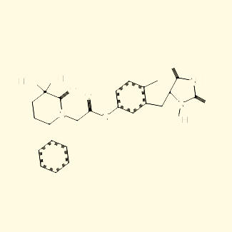 CN1C(=O)NC(=O)[C@@]12Cc1ccc(NC(=O)CN3C(=O)C(C)(C)CC[C@H]3c3ccccc3)cc1C2